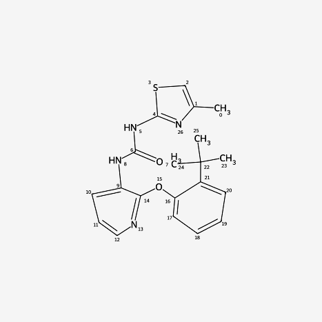 Cc1csc(NC(=O)Nc2cccnc2Oc2ccccc2C(C)(C)C)n1